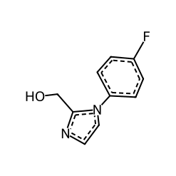 OCc1nccn1-c1ccc(F)cc1